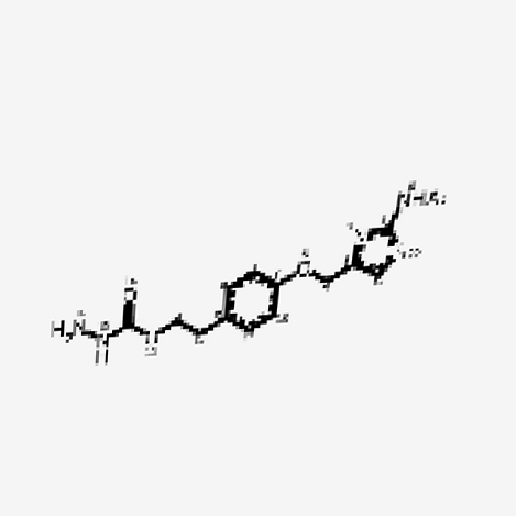 CC(=O)Nc1nc(COc2ccc(CCOC(=O)NN)cc2)cs1